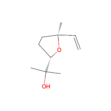 C=C[C@]1(C)CC[C@@H](C(C)(C)O)O1